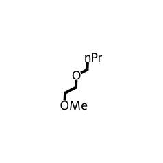 C[C]CCOCCOC